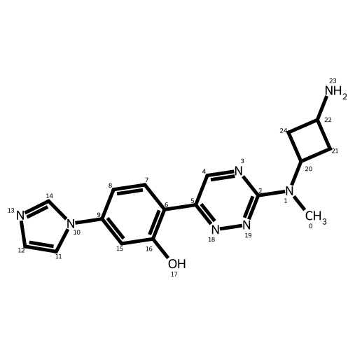 CN(c1ncc(-c2ccc(-n3ccnc3)cc2O)nn1)C1CC(N)C1